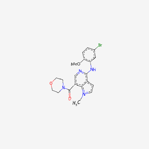 COc1ccc(Br)cc1Nc1ncc(C(=O)N2CCOCC2)c2c1ccn2C